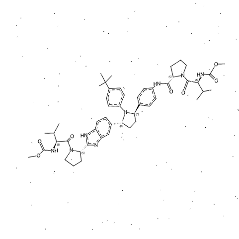 COC(=O)N[C@H](C(=O)N1CCC[C@H]1C(=O)Nc1ccc([C@H]2CC[C@H](c3ccc4[nH]c([C@@H]5CCCN5C(=O)[C@@H](NC(=O)OC)C(C)C)nc4c3)N2c2ccc(C(C)(C)C)cc2)cc1)C(C)C